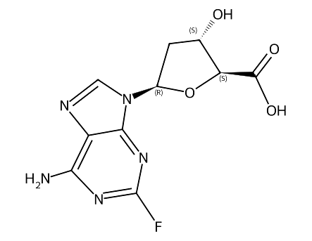 Nc1nc(F)nc2c1ncn2[C@H]1C[C@H](O)[C@@H](C(=O)O)O1